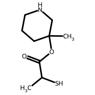 CC(S)C(=O)OC1(C)CCCNC1